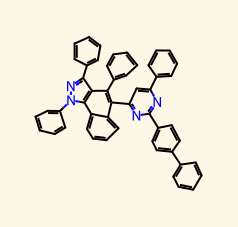 c1ccc(-c2ccc(-c3nc(-c4ccccc4)cc(-c4c(-c5ccccc5)c5c(-c6ccccc6)nn(-c6ccccc6)c5c5ccccc45)n3)cc2)cc1